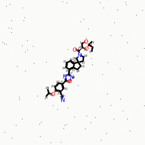 CCC1(C)OC[C@H](C(=O)N2CCC3(CCc4c(-c5noc(-c6ccc(OC(C)C)c(C#N)c6)n5)cccc43)C2)O1